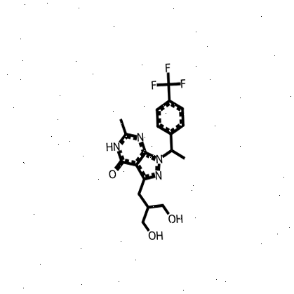 Cc1nc2c(c(CC(CO)CO)nn2C(C)c2ccc(C(F)(F)F)cc2)c(=O)[nH]1